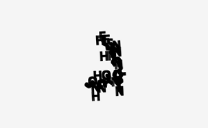 C=CC(=O)Nc1ccc(C(CO)Cn2c(C#N)cc3c(C)c(CN4CCC(Nc5ncnc6sc(CC(F)(F)F)cc56)CC4)ccc32)cn1